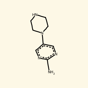 Nc1ncc(N2CCNCC2)cn1